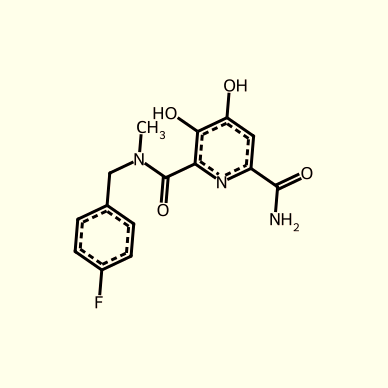 CN(Cc1ccc(F)cc1)C(=O)c1nc(C(N)=O)cc(O)c1O